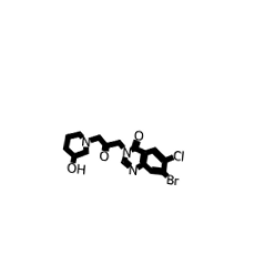 O=C(CN1CCCC(O)C1)Cn1cnc2cc(Br)c(Cl)cc2c1=O